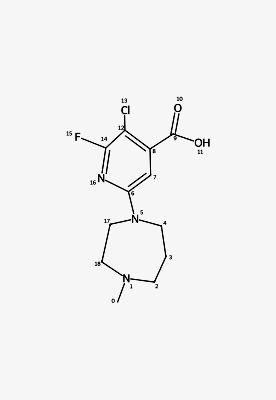 CN1CCCN(c2cc(C(=O)O)c(Cl)c(F)n2)CC1